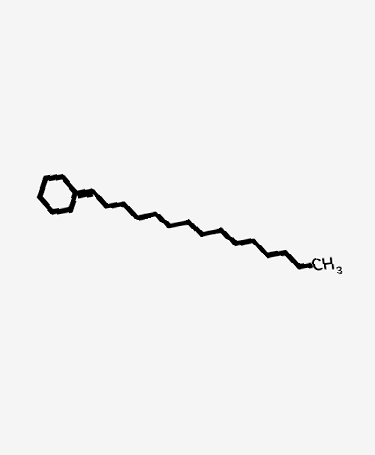 CCCCCCCCCCCCCCC=C1CCCCC1